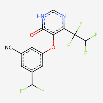 N#Cc1cc(Oc2c(C(F)(F)C(F)F)nc[nH]c2=O)cc(C(F)F)c1